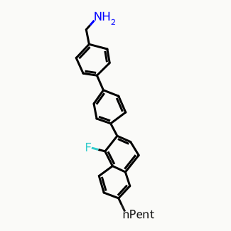 CCCCCc1ccc2c(F)c(-c3ccc(-c4ccc(CN)cc4)cc3)ccc2c1